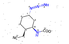 N#CC[C@H]1CC[C@H](N=[N+]=N)C[C@H]1NC(=O)[O-]